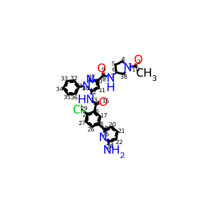 CC(=O)N1CC[C@H](NC(=O)c2cc(NC(=O)c3cc(-c4cccc(N)n4)ccc3Cl)n(-c3ccccc3)n2)C1